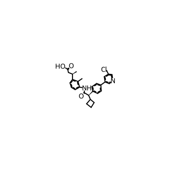 Cc1c(NC(=O)[C@@H](c2ccc(-c3cncc(Cl)c3)cc2)C2CCC2)cccc1[C@H](C)CC(=O)O